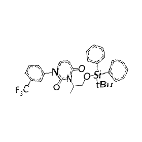 CC(CO[Si](c1ccccc1)(c1ccccc1)C(C)(C)C)n1c(=O)ccn(-c2cccc(C(F)(F)F)c2)c1=O